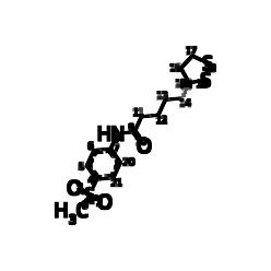 CS(=O)(=O)c1ccc(NC(=O)CCCC[C@@H]2CCSS2)cc1